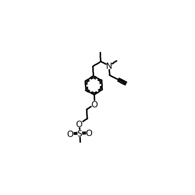 C#CCN(C)C(C)Cc1ccc(OCCOS(C)(=O)=O)cc1